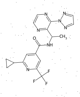 CC(NC(=O)c1cc(C2CC2)nc(C(F)(F)F)c1)c1nccnc1-n1nccn1